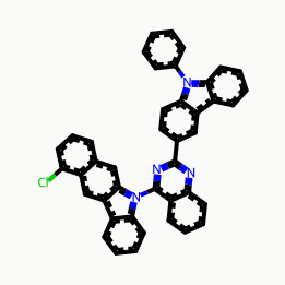 Clc1cccc2cc3c(cc12)c1ccccc1n3-c1nc(-c2ccc3c(c2)c2ccccc2n3-c2ccccc2)nc2ccccc12